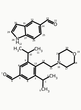 CC(C)c1cc(C=O)cc(C(C)C)c1CCN1CCOCC1.O=Cc1ccc2[nH]ccc2c1